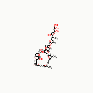 C=C1C[C@@H]2CCC3C[C@H](O)[C@@H](O3)[C@H]3C[C@@H](O)[C@H]4O[C@H](CC[C@@H]4O3)CC(=O)O[C@H]3C(C[C@H]4O[C@@H](CCC1O2)C[C@@H](C)C4=C)O[C@H]1C[C@H]2O[C@@]4(CC5O[C@H](C[C@H](C)C6O[C@H](C(O)CC(O)CO)CC6O)C[C@H](C)C5O4)C[C@H]2O[C@H]1[C@@H]3C